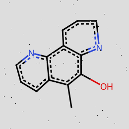 Cc1c(O)c2ncccc2c2ncccc12